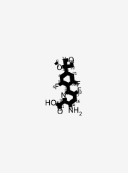 COC1(c2cc(F)c(-c3nc(C(=O)O)c(N)cc3F)c(F)c2)COC1